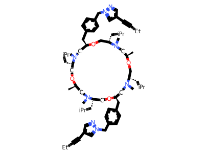 CCC#Cc1cnn(Cc2ccc(C[C@@H]3CN(C)[C@@H](CC(C)C)CO[C@H](C)CN(C)[C@@H](CC(C)C)CO[C@H](Cc4ccc(Cn5cc(C#CCC)cn5)cc4)CN(C)[C@@H](CC(C)C)CO[C@H](C)CN(C)[C@@H](CC(C)C)CO3)cc2)c1